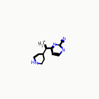 C=C(c1ccnc(C#N)n1)C1CCNCC1